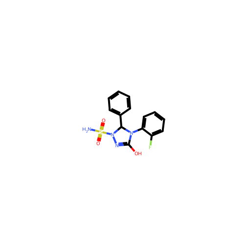 NS(=O)(=O)N1N=C(O)N(c2ccccc2F)C1c1ccccc1